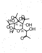 CC(=O)C(O)[C@H]1OC(C)(O)[C@@](O)(C(C)=O)[C@](O)(C(C)=O)[C@@]1(O)C(C)=O